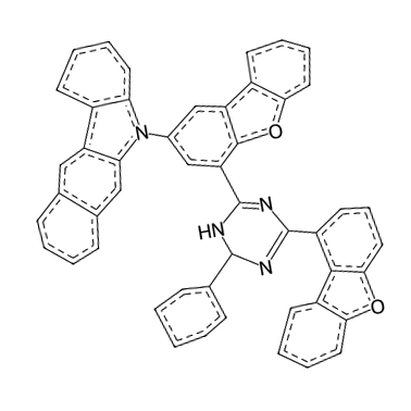 c1ccc(C2N=C(c3cccc4oc5ccccc5c34)N=C(c3cc(-n4c5ccccc5c5cc6ccccc6cc54)cc4c3oc3ccccc34)N2)cc1